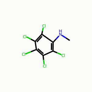 CNc1c(Cl)c(Cl)c(Cl)c(Cl)c1Cl